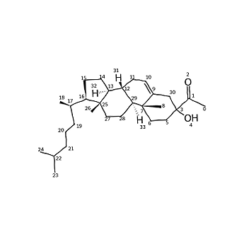 CC(=O)C1(O)CC[C@@]2(C)C(=CC[C@H]3[C@@H]4CC[C@H]([C@H](C)CCCC(C)C)[C@@]4(C)CC[C@@H]32)C1